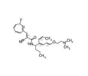 C\C=C/C(=C\C=C\OCCN(C)C)C(CCC)NC(=O)/C(C#N)=C/C1=NC(F)C=CC=C1